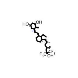 C=C1/C(=C\C=C2CCC[C@@]3(C)C2CC[C@@H]3[C@H](C)CC(F)CC(O)(C(F)(F)F)C(F)(F)F)C[C@@H](O)C[C@H]1O